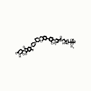 Cc1cc(-c2ccc(CN3CCC(N4CCN(c5cc6c(cc5F)C(=O)N(C5CCC(=O)NC5=O)C6=O)CC4)CC3)c(Cl)c2)ccc1-n1cc(C(=O)NCc2nc(C(C)(C)C(F)(F)F)n[nH]2)cn1